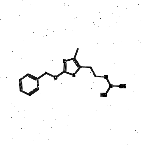 Cc1nc(OCc2ccccc2)sc1CCON(O)O